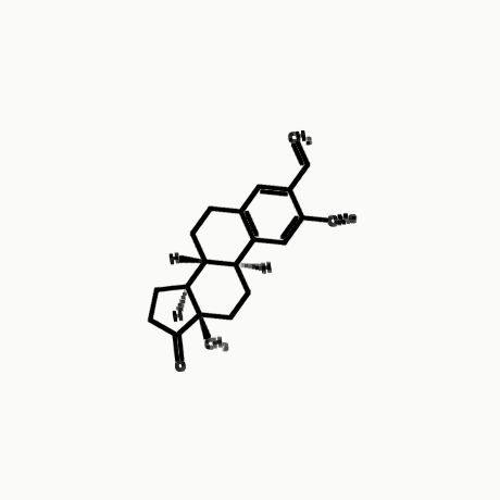 C=Cc1cc2c(cc1OC)[C@H]1CC[C@]3(C)C(=O)CC[C@H]3[C@@H]1CC2